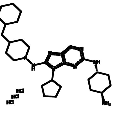 Cl.Cl.Cl.N[C@H]1CC[C@H](Nc2ncc3nc(NN4CCC(CC5CCCCC5)CC4)n(C4CCCC4)c3n2)CC1